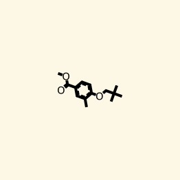 COC(=O)c1ccc(OCC(C)(C)C)c(C)c1